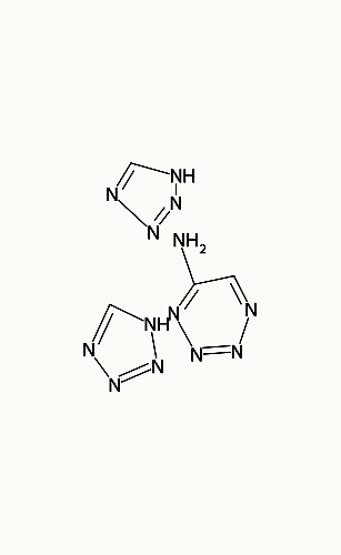 Nc1cnnnn1.c1nnn[nH]1.c1nnn[nH]1